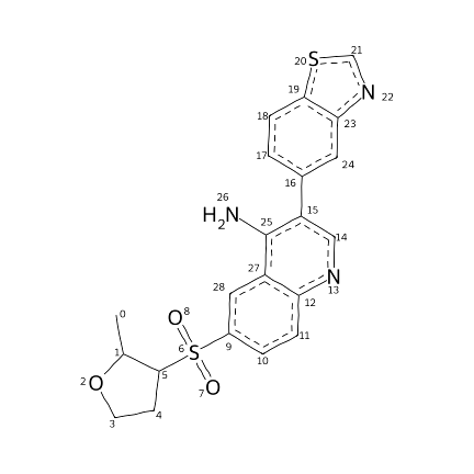 CC1OCCC1S(=O)(=O)c1ccc2ncc(-c3ccc4scnc4c3)c(N)c2c1